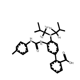 [2H]C([2H])(C(C)C)N(c1ccc(-c2ccccc2C(=O)O)cc1NC(=O)Nc1ccc(C)cc1)C([2H])([2H])C(C)C